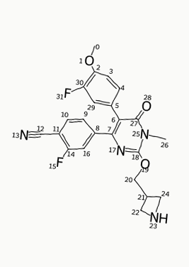 COc1ccc(-c2c(-c3ccc(C#N)c(F)c3)nc(OCC3CNC3)n(C)c2=O)cc1F